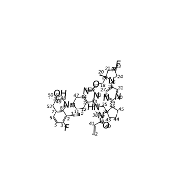 C#Cc1c(F)ccc2c1N([C@H]1CCc3c(nc(OC[C@]4(C)C[C@@H](F)CN4c4cncnc4)nc3NCC3(N(C)C(=O)C=C)CCCC3)C1)C[C@](C)(O)C2